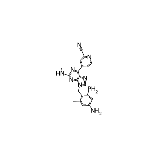 CNc1nc(-c2ccnc(C#N)c2)c2ncn(Cc3c(C)cc(N)cc3P)c2n1